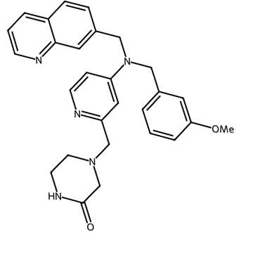 COc1cccc(CN(Cc2ccc3cccnc3c2)c2ccnc(CN3CCNC(=O)C3)c2)c1